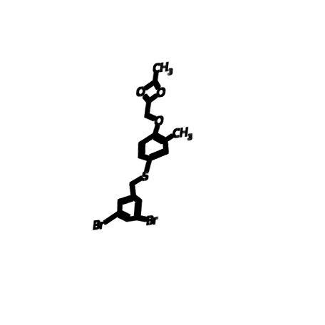 Cc1cc(SCc2cc(Br)cc(Br)c2)ccc1OCC1OC(C)O1